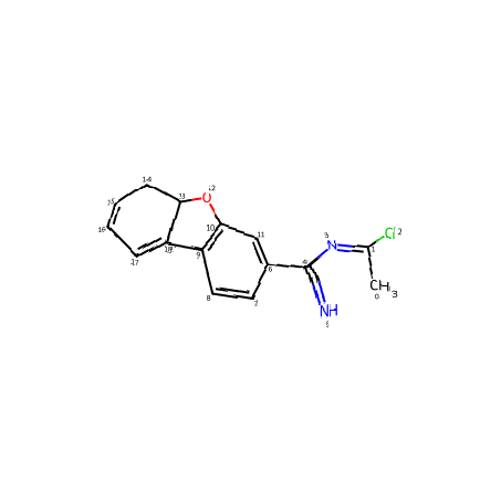 C/C(Cl)=N\C(=N)c1ccc2c(c1)OC1CC=CC=C21